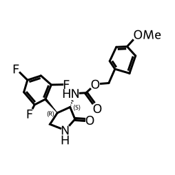 COc1ccc(COC(=O)N[C@@H]2C(=O)NC[C@H]2c2c(F)cc(F)cc2F)cc1